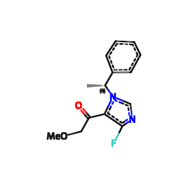 COCC(=O)c1c(F)ncn1[C@H](C)c1ccccc1